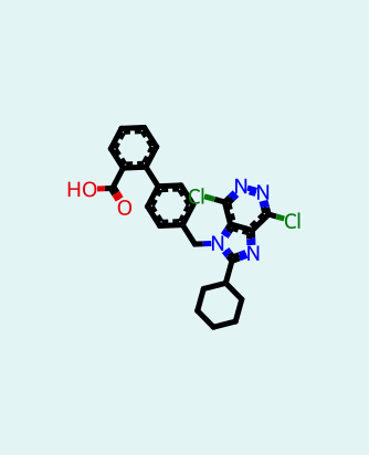 O=C(O)c1ccccc1-c1ccc(Cn2c(C3CCCCC3)nc3c(Cl)nnc(Cl)c32)cc1